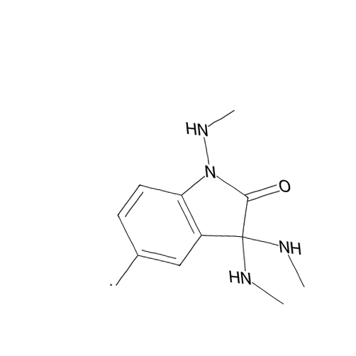 [CH2]c1ccc2c(c1)C(NC)(NC)C(=O)N2NC